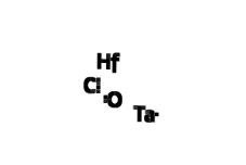 [C].[Hf].[O].[Ta]